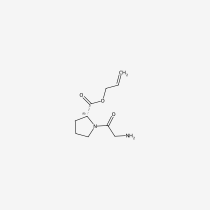 C=CCOC(=O)[C@H]1CCCN1C(=O)CN